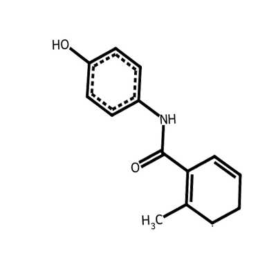 CC1=C(C(=O)Nc2ccc(O)cc2)C=CC[CH]1